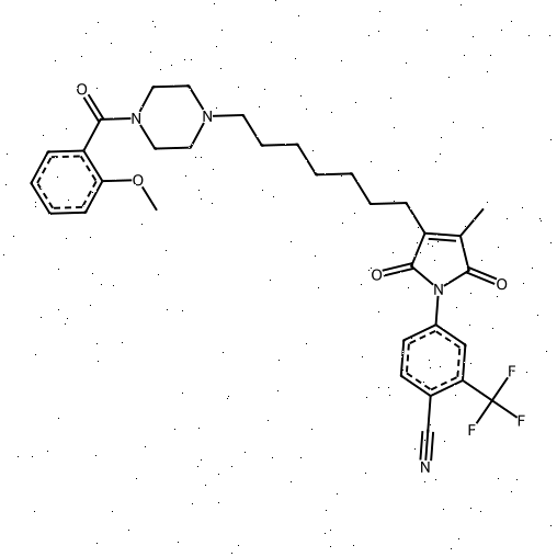 COc1ccccc1C(=O)N1CCN(CCCCCCCC2=C(C)C(=O)N(c3ccc(C#N)c(C(F)(F)F)c3)C2=O)CC1